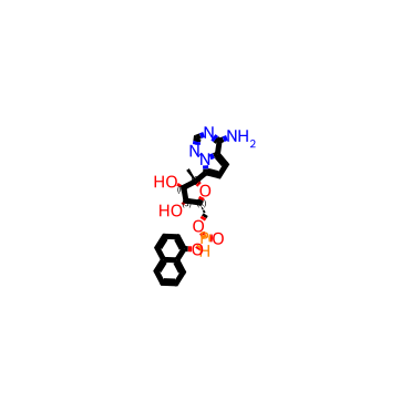 C[C@@]1(c2ccc3c(N)ncnn23)O[C@H](CO[PH](=O)Oc2cccc3ccccc23)[C@@H](O)[C@H]1O